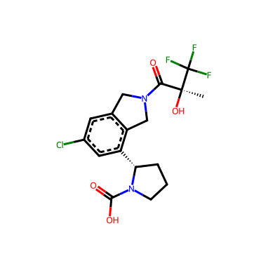 C[C@](O)(C(=O)N1Cc2cc(Cl)cc([C@@H]3CCCN3C(=O)O)c2C1)C(F)(F)F